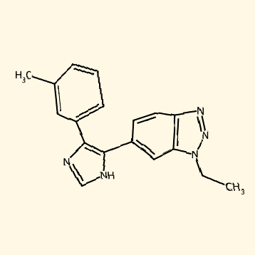 CCn1nnc2ccc(-c3[nH]cnc3-c3cccc(C)c3)cc21